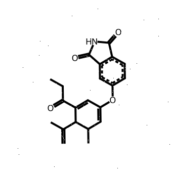 C=C(C)C1C(C(=O)CC)=CC(Oc2ccc3c(c2)C(=O)NC3=O)=CC1C